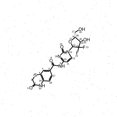 O=C1CSc2cc(C(=O)Nc3ccn(C4O[C@H](CO)[C@@H](O)C4(F)F)c(=O)n3)ccc2N1